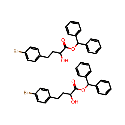 O=C(OC(c1ccccc1)c1ccccc1)C(O)CCc1ccc(Br)cc1.O=C(OC(c1ccccc1)c1ccccc1)C(O)CCc1ccc(Br)cc1